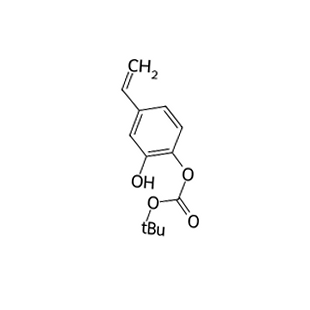 C=Cc1ccc(OC(=O)OC(C)(C)C)c(O)c1